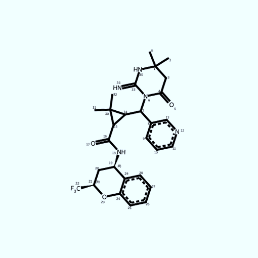 CC1(C)CC(=O)N(C(c2cccnc2)C2C(C(=O)N[C@@H]3C[C@H](C(F)(F)F)Oc4ccccc43)C2(C)C)C(=N)N1